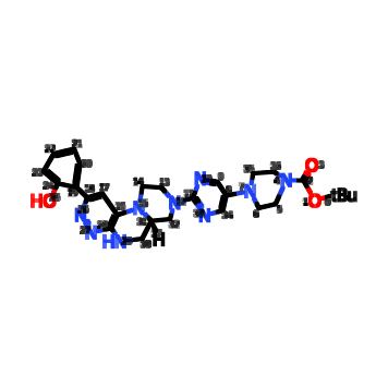 CC(C)(C)OC(=O)N1CCN(c2cnc(N3CCN4c5cc(-c6ccccc6O)nnc5NC[C@H]4C3)nc2)CC1